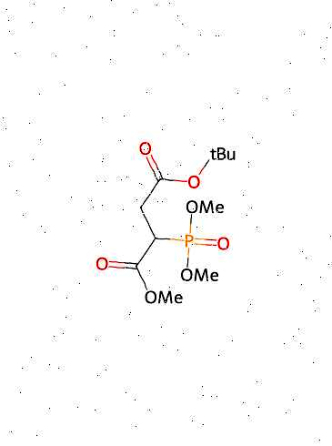 COC(=O)C(CC(=O)OC(C)(C)C)P(=O)(OC)OC